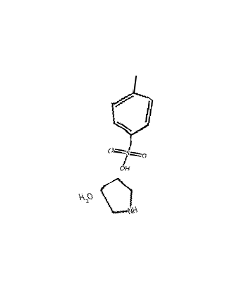 C1CCNC1.Cc1ccc(S(=O)(=O)O)cc1.O